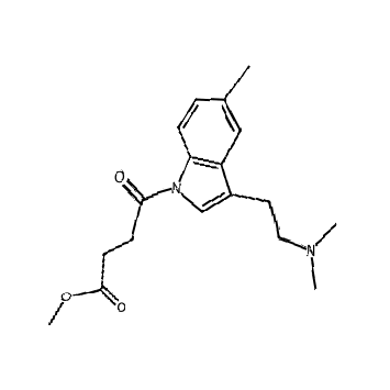 COC(=O)CCC(=O)n1cc(CCN(C)C)c2cc(C)ccc21